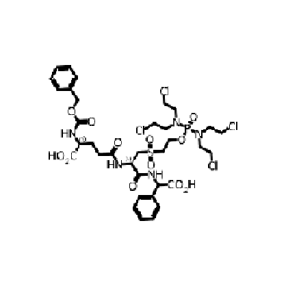 O=C(CC[C@H](NC(=O)OCc1ccccc1)C(=O)O)N[C@@H](CS(=O)(=O)CCOP(=O)(N(CCCl)CCCl)N(CCCl)CCCl)C(=O)NC(C(=O)O)c1ccccc1